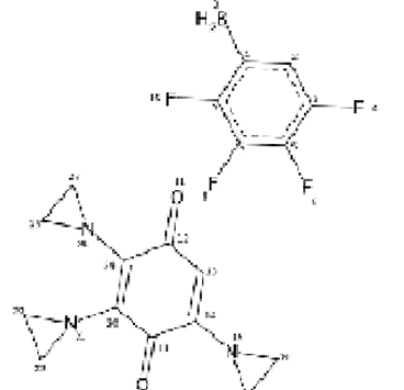 Bc1cc(F)c(F)c(F)c1F.O=C1C=C(N2CC2)C(=O)C(N2CC2)=C1N1CC1